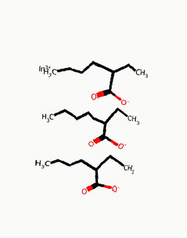 CCCCC(CC)C(=O)[O-].CCCCC(CC)C(=O)[O-].CCCCC(CC)C(=O)[O-].[In+3]